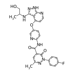 Cc1cc(C(=O)Nc2ccc(Oc3ccnc4[nH]nc(NC(C)CO)c34)cn2)c(=O)n(-c2ccc(F)cc2)n1